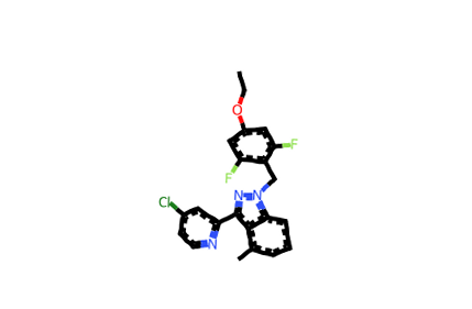 CCOc1cc(F)c(Cn2nc(-c3cc(Cl)ccn3)c3c(C)cccc32)c(F)c1